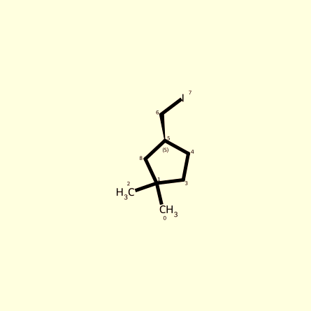 CC1(C)CC[C@H](CI)C1